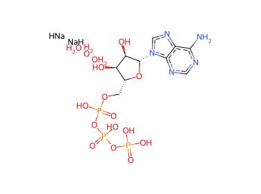 Nc1ncnc2c1ncn2[C@@H]1O[C@H](COP(=O)(O)OP(=O)(O)OP(=O)(O)O)[C@@H](O)[C@H]1O.O.O.O.[NaH].[NaH]